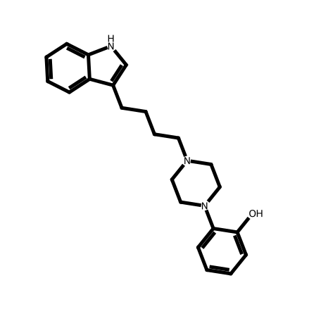 Oc1ccccc1N1CCN(CCCCc2c[nH]c3ccccc23)CC1